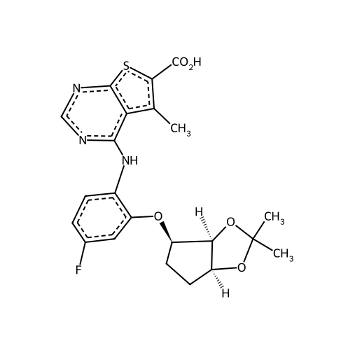 Cc1c(C(=O)O)sc2ncnc(Nc3ccc(F)cc3O[C@@H]3CC[C@@H]4OC(C)(C)O[C@@H]43)c12